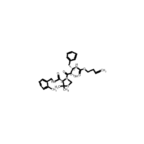 C=CCCOC(=O)N[C@@H](Cc1ccccc1)[C@H](O)C(=O)N1CSC(C)(C)[C@H]1C(=O)NCc1ccccc1C